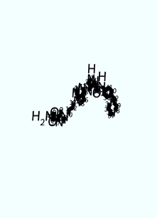 Cc1c(S(N)(=O)=O)ncn1CCCCn1ccc2c(Nc3c[nH]nc3C(=O)Nc3ccc(CN4CCN(C)CC4)cc3)ncnc21